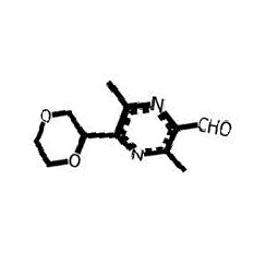 Cc1nc(C2COCCO2)c(C)nc1C=O